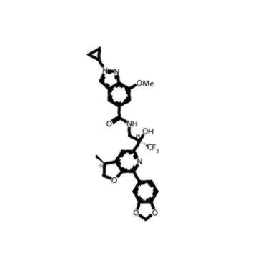 COc1cc(C(=O)NC[C@@](O)(c2cc3c(c(-c4ccc5c(c4)OCO5)n2)OC[C@H]3C)C(F)(F)F)cc2cn(C3CC3)nc12